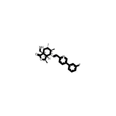 C[C@H]1[C@H](/C=C/c2ccc(-c3cccc(F)c3)cn2)[C@@H]2[C@@H](C)OC(=O)[C@]2(CN)C[C@@H]1C